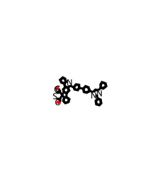 c1ccc(-c2cc(-c3ccc(-c4ccc(-c5nc6ccccc6c6cc7c(cc56)-c5ccccc5C75c6ccccc6Sc6ccccc65)cc4)cc3)nc(-c3ccccc3)n2)cc1